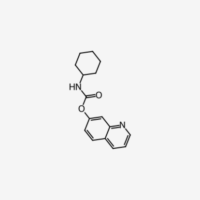 O=C(NC1CCCCC1)Oc1ccc2cccnc2c1